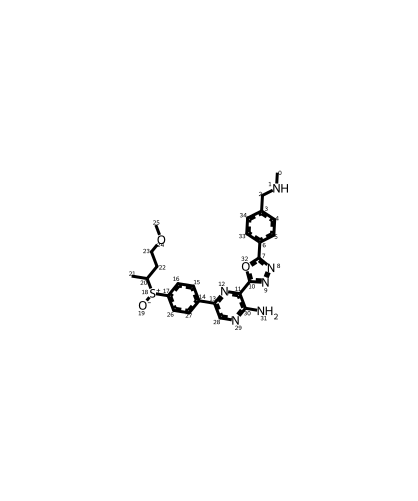 CNCc1ccc(-c2nnc(-c3nc(-c4ccc([S+]([O-])C(C)CCOC)cc4)cnc3N)o2)cc1